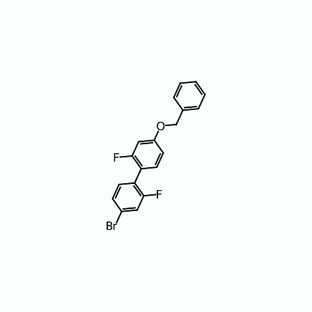 Fc1cc(Br)ccc1-c1ccc(OCc2ccccc2)cc1F